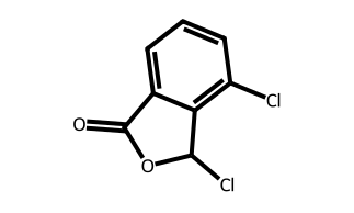 O=C1OC(Cl)c2c(Cl)cccc21